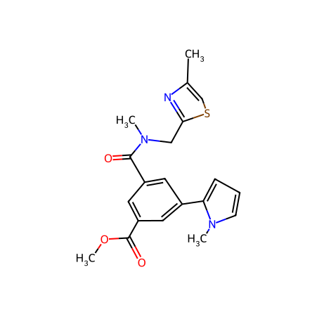 COC(=O)c1cc(C(=O)N(C)Cc2nc(C)cs2)cc(-c2cccn2C)c1